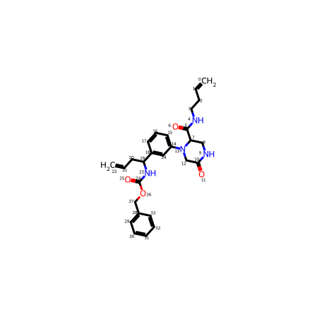 C=CCCNC(=O)C1CNC(=O)CN1c1cccc(C(CC=C)NC(=O)OCc2ccccc2)c1